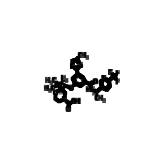 Cc1cnc(-c2cc(OC[C@@]3(C(C)(C)C)CN(C(=O)O)CCO3)cc(C(=O)N[C@H](C)c3ccc(C(F)(F)F)nc3)c2)s1